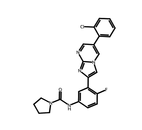 O=C(Nc1ccc(F)c(-c2cn3cc(-c4ccccc4Cl)cnc3n2)c1)N1CCCC1